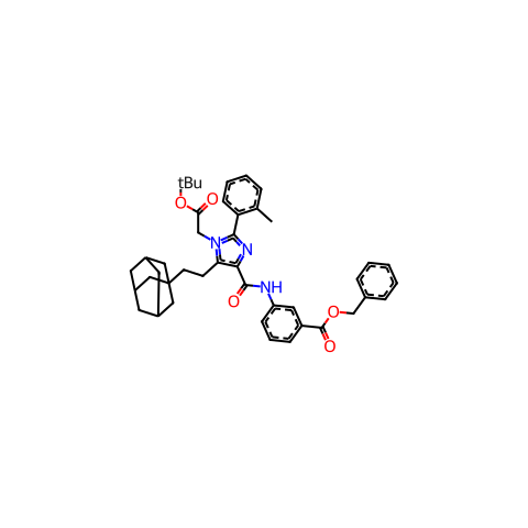 Cc1ccccc1-c1nc(C(=O)Nc2cccc(C(=O)OCc3ccccc3)c2)c(CCC23CC4CC(CC(C4)C2)C3)n1CC(=O)OC(C)(C)C